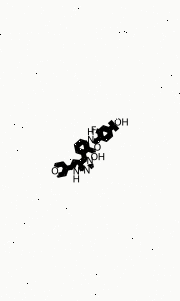 CC(C)(O)c1ccc(C(=O)Nc2cccc(-c3ncnc4[nH]c(C5=CCOCC5)cc34)c2CO)c(F)c1